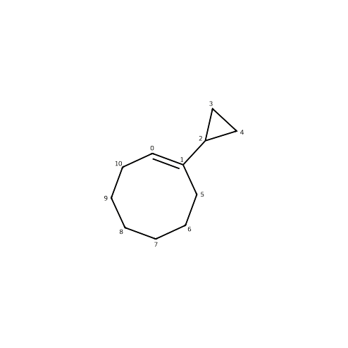 C1=C(C2CC2)CCCCCC1